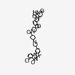 CC1(C)c2ccc(C3CCN(C4CCC(C(=O)N5CCC6(CC5)COc5c6ccc6c5CN([C@@H]5CCC(=O)NC5=O)C6=O)CC4)CC3)cc2-n2c1nc(=O)c1c(Cl)cccc12